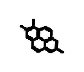 Cc1cc2ccc3cc(C)c(C)c4ccc(c1)c2c34